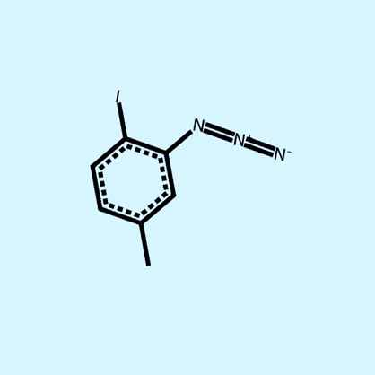 Cc1ccc(I)c(N=[N+]=[N-])c1